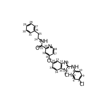 Cn1c(Nc2ccc(Cl)cc2)nc2cc(Oc3ccnc(C(=O)NCCc4ccccc4)c3)ccc21